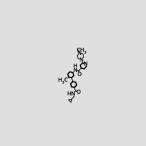 Cc1ccc(NC(=O)c2ccnc(N3CCN(C)CC3)c2)cc1-c1ccc(C(=O)NCC2CC2)cc1